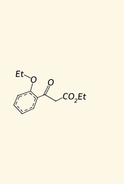 CCOC(=O)CC(=O)c1ccccc1OCC